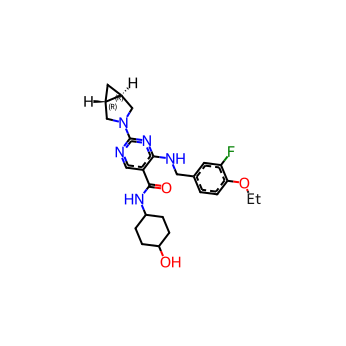 CCOc1ccc(CNc2nc(N3C[C@@H]4C[C@H]4C3)ncc2C(=O)NC2CCC(O)CC2)cc1F